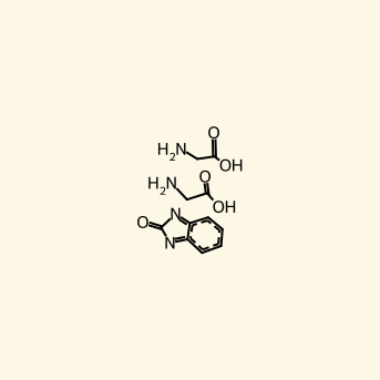 NCC(=O)O.NCC(=O)O.O=C1N=c2ccccc2=N1